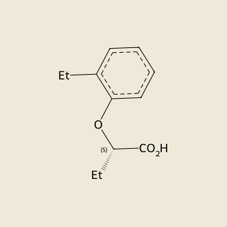 CCc1ccccc1O[C@@H](CC)C(=O)O